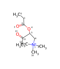 CCC(=O)OC(C[N+](C)(C)C)C(C)=O